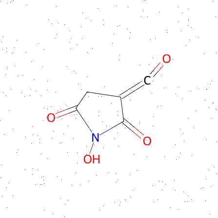 O=C=C1CC(=O)N(O)C1=O